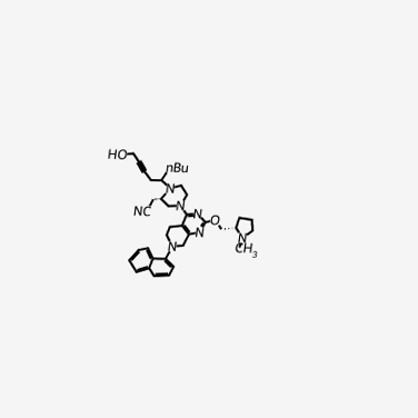 CCCCC(CC#CCO)N1CCN(c2nc(OC[C@@H]3CCCN3C)nc3c2CCN(c2cccc4ccccc24)C3)C[C@@H]1CC#N